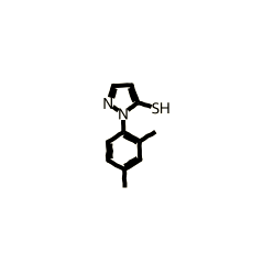 Cc1ccc(-n2nccc2S)c(C)c1